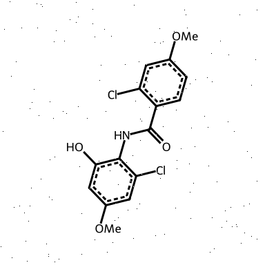 COc1ccc(C(=O)Nc2c(O)cc(OC)cc2Cl)c(Cl)c1